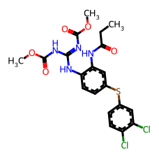 CCC(=O)Nc1cc(Sc2ccc(Cl)c(Cl)c2)ccc1NC(=NC(=O)OC)NC(=O)OC